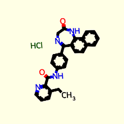 CCc1cccnc1C(=O)Nc1ccc(C2=NCC(=O)Nc3c2ccc2ccccc32)cc1.Cl